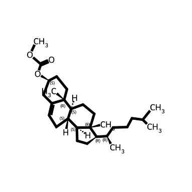 COC(=O)O[C@H]1CC[C@@]2(C)C(=CC[C@H]3[C@@H]4CC[C@H]([C@H](C)CCCC(C)C)[C@@]4(C)CC[C@@H]32)C1